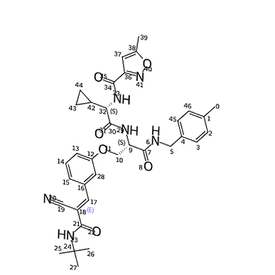 Cc1ccc(CNC(=O)[C@H](COc2cccc(/C=C(\C#N)C(=O)NC(C)(C)C)c2)NC(=O)[C@@H](NC(=O)c2cc(C)on2)C2CC2)cc1